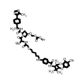 Cc1ncsc1-c1ccc([C@H](C)NC(=O)[C@@H]2C[C@@H](OCOC(=O)OC(C)C)CN2C(=O)C(NC(=O)COCCCCCNc2ccc(C(=O)NC3C(C)(C)C(Oc4ccc(C#N)c(Cl)c4)C3(C)C)cc2)C(C)(C)C)cc1